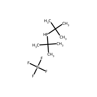 CC(C)(C)PC(C)(C)C.F[B-](F)(F)F